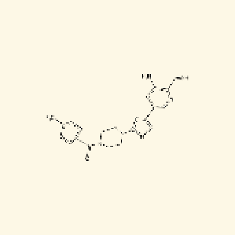 N=Cc1ncc(-c2cnn(C3CCN(C(=O)c4ccc(C(F)(F)F)cc4)CC3)c2)cc1N